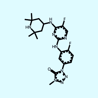 Cn1nnn(-c2ccc(F)c(Nc3ncc(F)c(NC4CC(C)(C)NC(C)(C)C4)n3)c2)c1=O